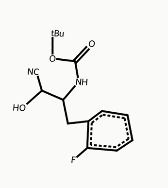 CC(C)(C)OC(=O)NC(Cc1ccccc1F)C(O)C#N